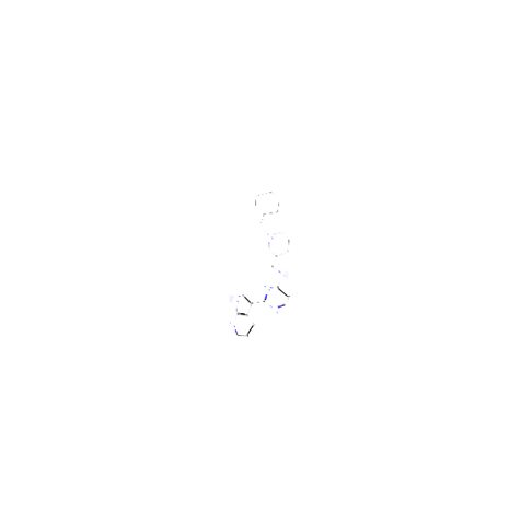 Fc1cnc(-c2c[nH]c3ncc(Cl)cc23)nc1NC[C@@H]1CCCN(CC2CCCCC2)C1